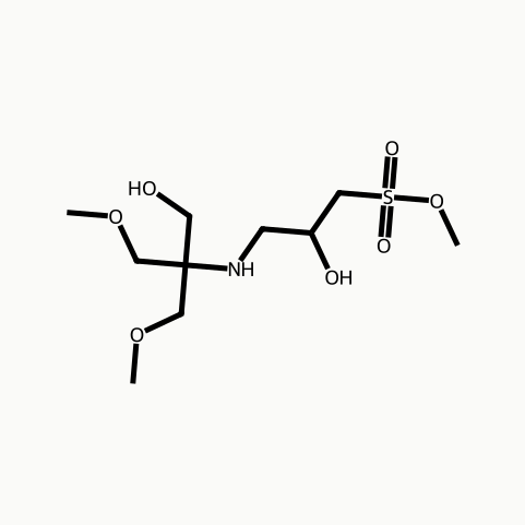 COCC(CO)(COC)NCC(O)CS(=O)(=O)OC